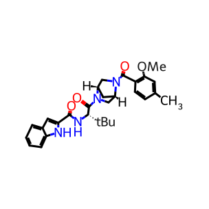 COc1cc(C)ccc1C(=O)N1C[C@@H]2C[C@H]1CN2C(=O)[C@@H](NC(=O)c1cc2ccccc2[nH]1)C(C)(C)C